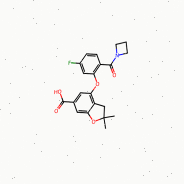 CC1(C)Cc2c(Oc3cc(F)ccc3C(=O)N3CCC3)cc(C(=O)O)cc2O1